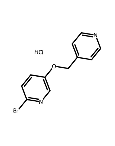 Brc1ccc(OCc2ccncc2)cn1.Cl